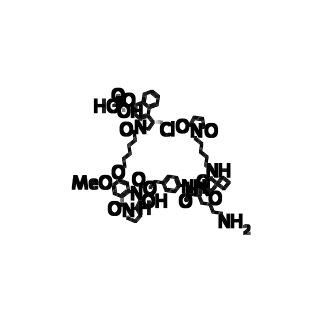 COc1cc2c(cc1OCCCCCC(=O)N1C[C@@H](CCl)c3c1cc(OP(=O)(O)O)c1ccccc31)N(C(=O)OCc1ccc(NC(=O)C(CCCCN)NC(=O)C3(C(=O)NCCCCCN4C(=O)C=CC4=O)CCC3)cc1)C(O)[C@@H]1CCCN1C2=O